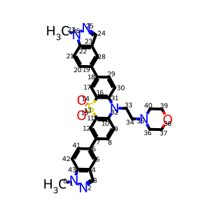 Cn1ncc2cc(-c3ccc4c(c3)S(=O)(=O)c3cc(-c5ccc6c(cnn6C)c5)ccc3N4CCN3CCOCC3)ccc21